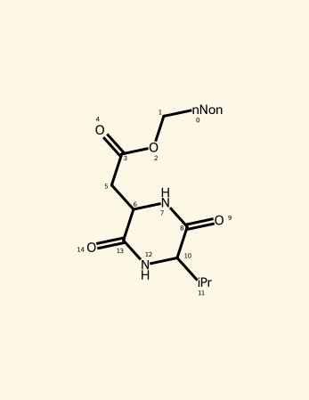 CCCCCCCCCCOC(=O)CC1NC(=O)C(C(C)C)NC1=O